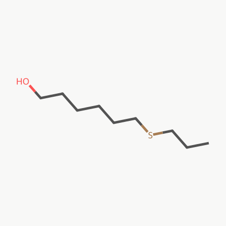 CCCSCCCCCCO